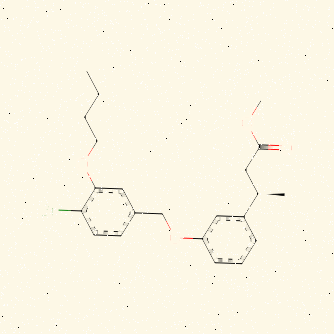 CCCCOc1cc(COc2cccc([C@H](C)CC(=O)OC)c2)ccc1Br